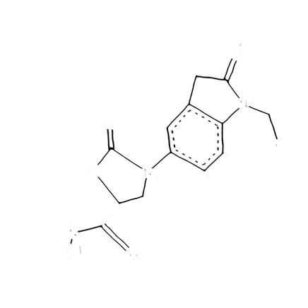 CCN1C(=O)Cc2cc(N3C[C@H](C(=O)NC)OC3=O)ccc21